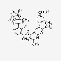 CC[Si](CC)(CC)OC(C)(C)C(F)(F)c1cccc([C@@H](C)Nc2nc(C)nc3nc(C)c(C4=C(C)CN(C(=O)O)CC4)cc23)c1F